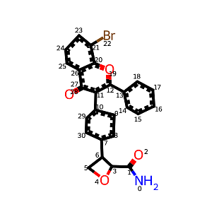 NC(=O)C1OCC1c1ccc(-c2c(-c3ccccc3)oc3c(Br)cccc3c2=O)cc1